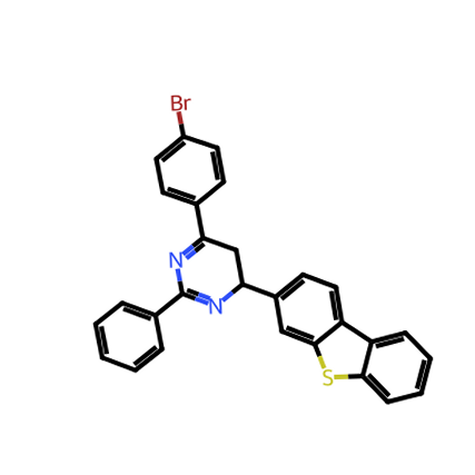 Brc1ccc(C2=NC(c3ccccc3)=NC(c3ccc4c(c3)sc3ccccc34)C2)cc1